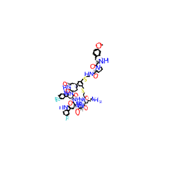 CN[C@@H](Cc1ccc(OC)cc1)C(=O)N1CCC[C@@]1(C)C(=O)NCCSCc1cccc(CSCCC(=O)N[C@@H](CCCCN)C(=O)N[C@H](C)C(=O)N[C@@H](Cc2c[nH]c3ccc(F)cc23)C(=O)N[C@@H](Cc2c[nH]c3ccc(F)cc23)C(=O)N[C@H]2CC/C=C/CC[C@@H](C=O)NC2=O)c1